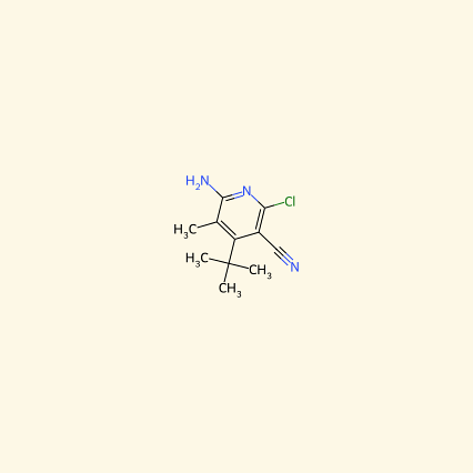 Cc1c(N)nc(Cl)c(C#N)c1C(C)(C)C